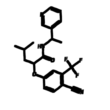 CC(C)CC(Oc1ccc(C#N)c(C(F)(F)F)c1)C(=O)NC(C)c1cccnc1